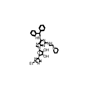 CCn1nnc([C@H]2O[C@@H](n3cnc4c(NCC(c5ccccc5)c5ccccc5)nc(NCCN5CCCCC5)nc43)[C@H](O)[C@@H]2O)n1